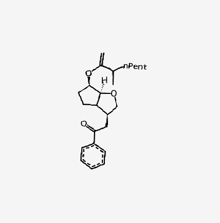 C=C(O[C@@H]1CCC2[C@H](CC(=O)c3ccccc3)CO[C@@H]21)C(C)CCCCC